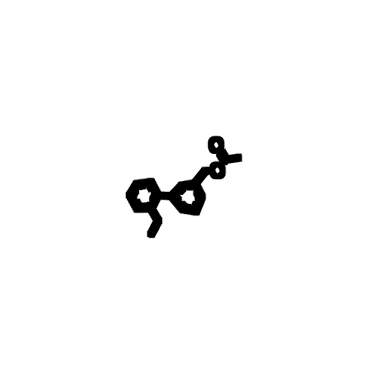 CCc1ccccc1-c1cccc(COC(C)=O)c1